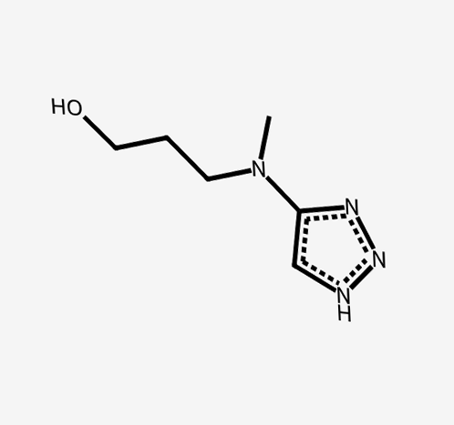 CN(CCCO)c1c[nH]nn1